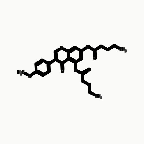 CCCCC(=O)Oc1cc(OC(=O)CCCC)c2c(=O)c(-c3ccc(OC)cc3)coc2c1